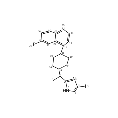 CC(c1nc(I)c[nH]1)C1CCC(c2ccnc3ccc(F)cc23)CC1